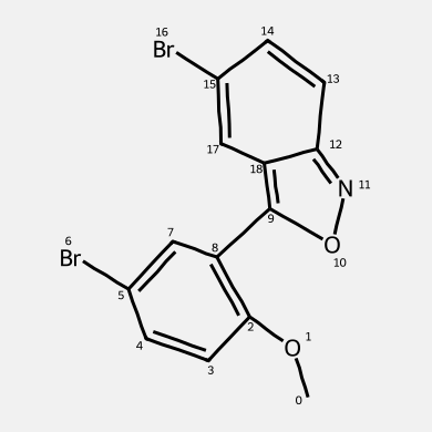 COc1ccc(Br)cc1-c1onc2ccc(Br)cc12